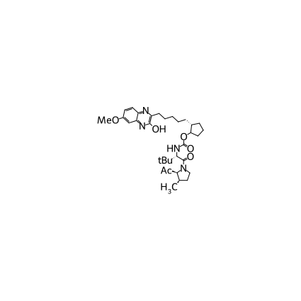 COc1ccc2nc(CCCCC[C@@H]3CCCC3OC(=O)N[C@H](C(=O)N3CC[C@@H](C)[C@H]3C(C)=O)C(C)(C)C)c(O)nc2c1